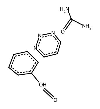 C=O.NC(N)=O.Oc1ccccc1.c1cnnnc1